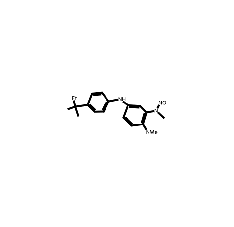 CCC(C)(C)c1ccc(Nc2ccc(NC)c(N(C)N=O)c2)cc1